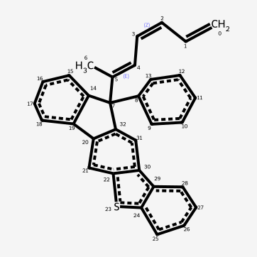 C=C/C=C\C=C(/C)C1(c2ccccc2)c2ccccc2-c2cc3sc4ccccc4c3cc21